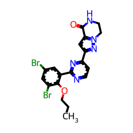 CCCOc1c(Br)cc(Br)cc1-c1nccc(-c2cc3n(n2)CCNC3=O)n1